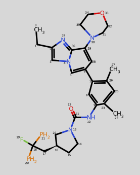 CCc1cn2cc(-c3cc(NC(=O)N4CC[C@@H](CC(F)(P)P)C4)c(C)cc3C)cc(N3CCOCC3)c2n1